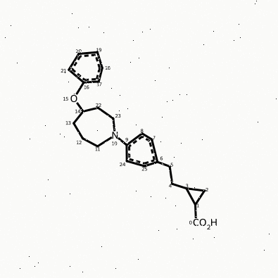 O=C(O)C1CC1CCc1ccc(N2CCCC(Oc3ccccc3)CC2)cc1